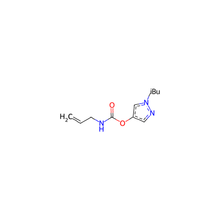 C=CCNC(=O)Oc1cnn(C(C)CC)c1